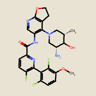 COc1ccc(F)c(-c2nc(C(=O)Nc3cnc4c(c3N3C[C@@H](N)C(O)[C@@H](C)C3)CCO4)ccc2F)c1F